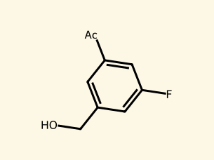 CC(=O)c1cc(F)cc(CO)c1